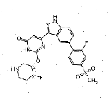 CS(=O)(=O)c1ccc(-c2ccc3[nH]nc(-c4cc(=O)[nH]c(O[C@H]5CNCC[C@@H]5F)n4)c3c2)c(F)c1